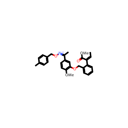 CC=C(C(=O)OC)c1ccccc1COc1cc(/C(C)=N\OCc2ccc(C)cc2)ccc1OC